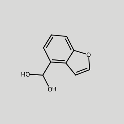 OC(O)c1cccc2occc12